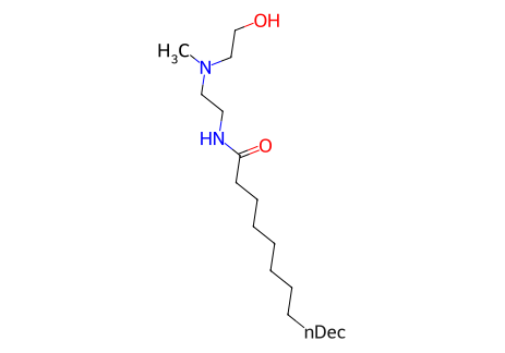 CCCCCCCCCCCCCCCCCC(=O)NCCN(C)CCO